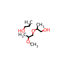 CCCO.COC(C)COC(C)CO